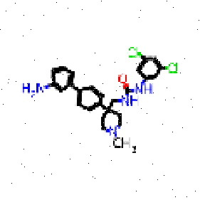 CN1CCC(CNC(=O)Nc2cc(Cl)cc(Cl)c2)(c2ccc(-c3cccc(N)c3)cc2)CC1